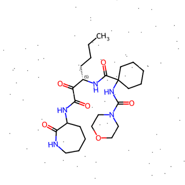 CCCC[C@H](NC(=O)C1(NC(=O)N2CCOCC2)CCCCC1)C(=O)C(=O)NC1CCCCNC1=O